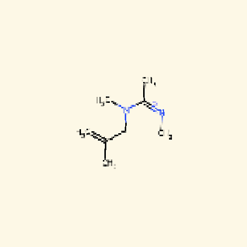 C=C(C)CN(C)/C(C)=N\C